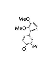 COc1cccc(-c2ccc([O])c(C(C)C)c2)c1OC